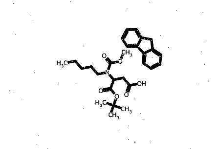 CCCCCN(C(=O)OC)C(CC(=O)O)C(=O)OC(C)(C)C.c1ccc2c(c1)Cc1ccccc1-2